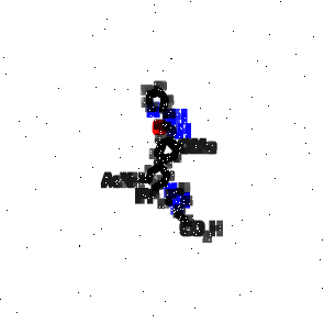 COc1cc(C(CCNC(C)=O)CC(CC(C)C)N2C=NN(CCC(=O)O)C2)ccc1NC(=O)Nc1ccccn1